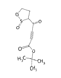 CC(C)(C)OC(=O)C#CC(=O)C1CCOS1=O